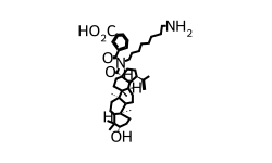 C=C(C)[C@@H]1CC[C@]2(C(=O)N(CCCCCCCCN)C(=O)c3cccc(C(=O)O)c3)CC[C@]3(C)[C@H](CCC4[C@@]5(C)CC[C@H](O)C(C)(C)[C@@H]5CC[C@]43C)[C@@H]12